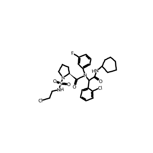 O=C(NC1CCCCC1)C(c1ccccc1Cl)N(C(=O)[C@@H]1CCCN1S(=O)(=O)NCCCl)c1cccc(F)c1